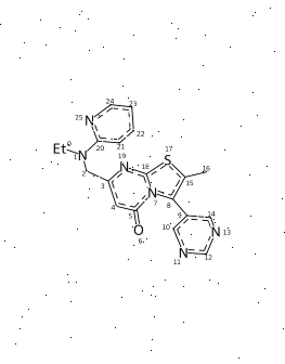 CCN(Cc1cc(=O)n2c(-c3cncnc3)c(C)sc2n1)c1ccccn1